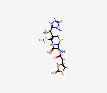 Cn1nnnc1C(S)C1=C(C(=O)O)N2C(=O)C(NC(=O)Cc3csc(=O)s3)C2SC1